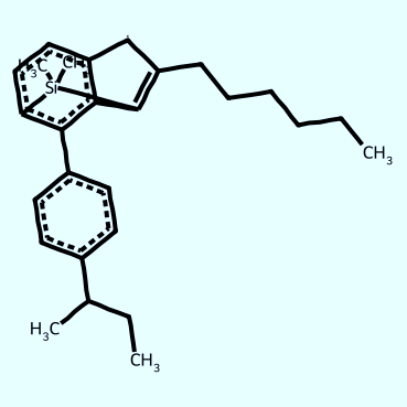 CCCCCCC1=C2c3c(ccc(c3-c3ccc(C(C)CC)cc3)[Si]2(C)C)[CH]1